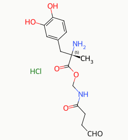 C[C@](N)(Cc1ccc(O)c(O)c1)C(=O)OCNC(=O)CCC=O.Cl